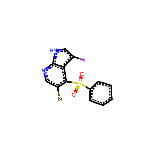 O=S(=O)(c1ccccc1)c1c(Br)cnc2[nH]cc(I)c12